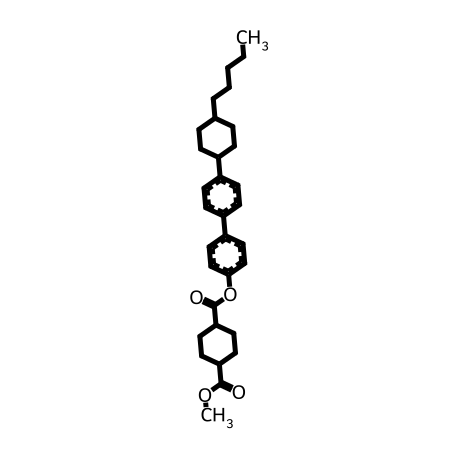 CCCCCC1CCC(c2ccc(-c3ccc(OC(=O)C4CCC(C(=O)OC)CC4)cc3)cc2)CC1